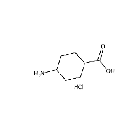 Cl.NC1CCC(C(=O)O)CC1